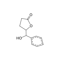 O=C1CCC(C(O)c2ccccc2)O1